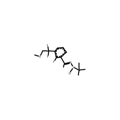 COCC(F)(F)c1cccc(C(C)=N[S+]([O-])C(C)(C)C)c1F